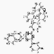 c1ccc(-c2nc(-c3ccc(-c4ccc5oc6cccc7c8ccccc8c4c5c67)cc3)nc(-c3ccc4ccccc4c3)n2)cc1